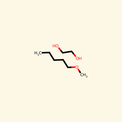 CCCCCOC.OCCO